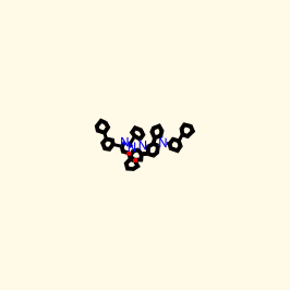 c1ccc(-c2cccc(-c3cc(-c4ccccc4)nc(-c4ccccc4-n4c5ccccc5c5ccc6c(c7ccccc7n6-c6cccc(-c7ccccc7)c6)c54)n3)c2)cc1